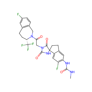 CNC(=O)Nc1cc2c(cc1F)C1(CC2)NC(=O)N(CC(=O)N2Cc3ccc(F)cc3CC[C@H]2C(F)(F)F)C1=O